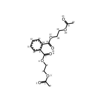 CC(=O)OCCOC(=O)c1ccccc1C(=O)OCCOC(C)=O